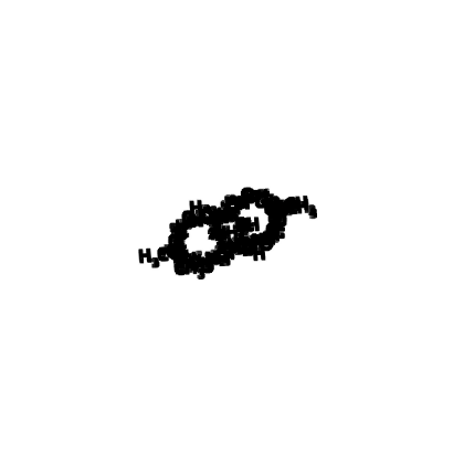 CCOC(=O)C1(C(=O)OCC)Cc2cccc(c2)C(=O)Nc2ccccc2-c2c3nc(c4c5ccc([nH]5)c(c5nc(c(c6ccc2[nH]6)-c2ccccc2NC(=O)c2cccc(c2)C1)C=C5)-c1ccccc1NC(=O)c1cccc(c1)CC(C(=O)OCC)(C(=O)OCC)CC1C=CC=C(C1)C(=O)Nc1ccccc1-4)C=C3